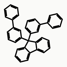 c1ccc(-c2cccc(C3(c4cccc(-c5ccccc5)c4)c4ccccc4-c4ccccc43)c2)cc1